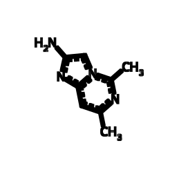 Cc1cc2nc(N)cn2c(C)n1